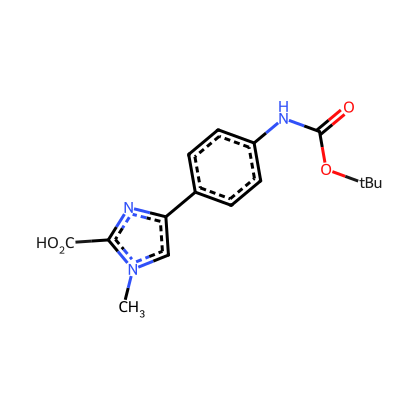 Cn1cc(-c2ccc(NC(=O)OC(C)(C)C)cc2)nc1C(=O)O